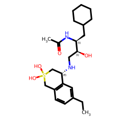 CCc1ccc2c(c1)[C@@H](NC[C@H](O)[C@H](CC1CCCCC1)NC(C)=O)CS(O)(O)C2